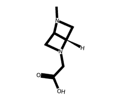 CN1C[C@H]2C1CN2CC(=O)O